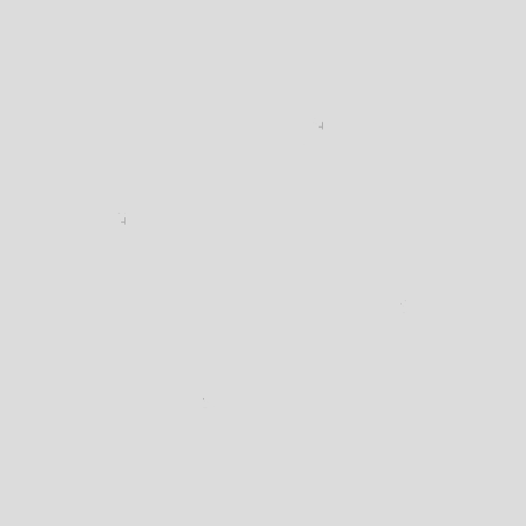 C[Si](C)(C)c1ccc(-c2cc(-c3ccc([Si](C)(C)C)cc3)c3ccc4c(-c5ccc([Si](C)(C)C)cc5)cc(-c5ccc([Si](C)(C)C)cc5)c5ccc2c3c54)cc1